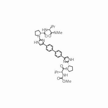 CNC(=O)[C@@H](NC(=O)[C@@H]1CCCN1c1nc(-c2ccc(-c3ccc(-c4c[nH]c([C@@H]5CCCN5C(=O)[C@@H](NC(=O)OC)C(C)C)n4)cc3)cc2)c[nH]1)C(C)C